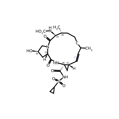 CC1/C=C\[C@@H]2C[C@@]2(C(=O)NS(=O)(=O)C2CC2)NC(=O)[C@@H]2C[C@@H](O)CN2C(=O)[C@@H](NC(=O)O)[C@H](C)CCC1